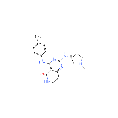 CN1CC[C@@H](Nc2nc(Nc3ccc(C(F)(F)F)cc3)c3c(=O)[nH]ccc3n2)C1